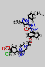 Cc1ccc(-n2nc(C(C)(C)C)cc2NC(=O)Nc2ccc(OCCN3CCn4c(nnc4-c4ccc(O)c(Cl)c4)C3)c3c2CCC3)cc1